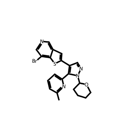 Cc1cccc(-c2c(-c3cc4cncc(Br)c4s3)cnn2C2CCCCO2)n1